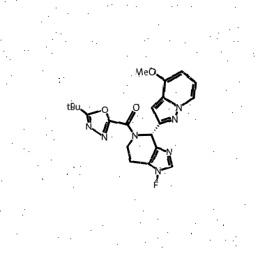 COc1cccn2nc([C@@H]3c4ncn(F)c4CCN3C(=O)c3nnc(C(C)(C)C)o3)cc12